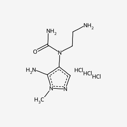 Cl.Cl.Cl.Cn1ncc(N(CCN)C(N)=O)c1N